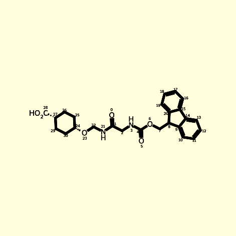 O=C(CNC(=O)OCC1c2ccccc2-c2ccccc21)NCO[C@H]1CC[C@@H](C(=O)O)CC1